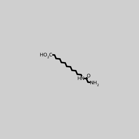 NCC(=O)NCCCCCCCCCCCC(=O)O